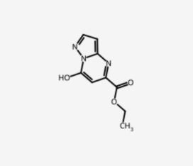 CCOC(=O)c1cc(O)n2nccc2n1